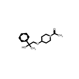 CC(=O)N1CCC(OCC(C)(O)c2ccccc2)CC1